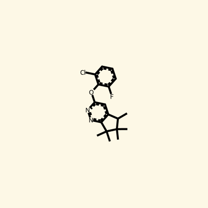 CC1c2cc(Oc3c(F)cccc3Cl)nnc2C(C)(C)C1(C)C